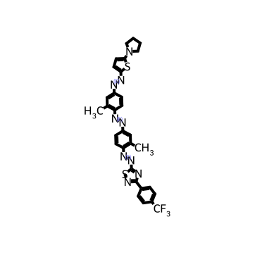 Cc1cc(/N=N/c2ccc(N3CCCC3)s2)ccc1/N=N/c1ccc(/N=N/c2nc(-c3ccc(C(F)(F)F)cc3)ns2)c(C)c1